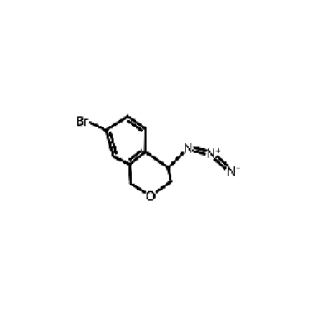 [N-]=[N+]=NC1COCc2cc(Br)ccc21